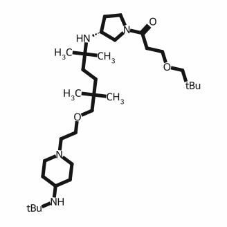 CC(C)(C)COCCC(=O)N1CC[C@@H](NC(C)(C)CCC(C)(C)COCCN2CCC(NC(C)(C)C)CC2)C1